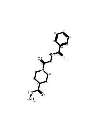 NNC(=O)C1CCN(C(=O)CNC(=O)c2ccccc2)CC1